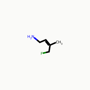 CC(=CCN)CF